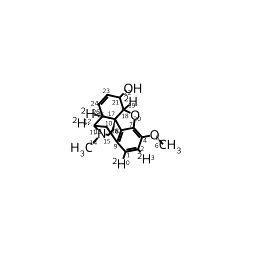 [2H]c1c([2H])c(OC)c2c3c1C[C@@]1([2H])N(C)CC[C@@]34C([2H])(O2)C(O)C=C[C@@]14[2H]